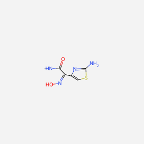 [NH]C(=O)C(=NO)c1csc(N)n1